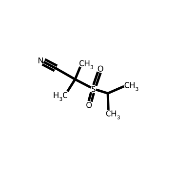 CC(C)S(=O)(=O)C(C)(C)C#N